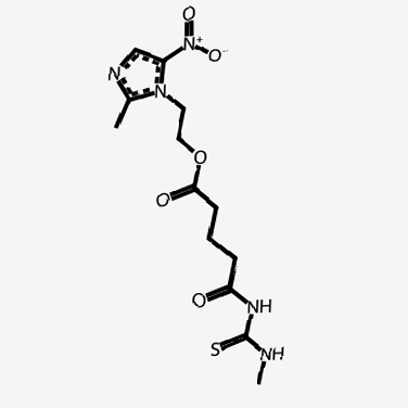 CNC(=S)NC(=O)CCCC(=O)OCCn1c([N+](=O)[O-])cnc1C